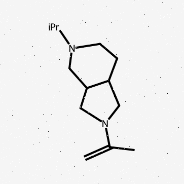 C=C(C)N1CC2CCN(C(C)C)CC2C1